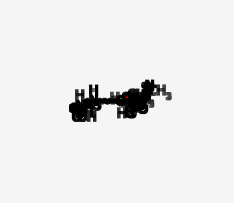 Cc1ncsc1-c1ccc(CNC(=O)[C@@H]2C[C@@H](O)CN2C(=O)C(NC(=O)COCCCCCCCCC(=O)Nc2ccc(C(=O)Nc3ccccc3NC(=O)O)cc2)C(C)(C)C)cc1